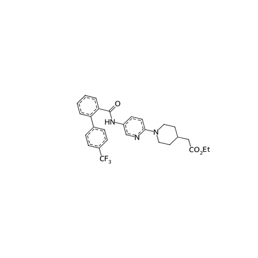 CCOC(=O)CC1CCN(c2ccc(NC(=O)c3ccccc3-c3ccc(C(F)(F)F)cc3)cn2)CC1